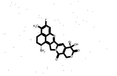 CC[C@@]1(O)C(=O)OCc2c1cc1n(c2=O)Cc2c-1nc1cc(F)c(C)c3c1c2[C@H](N)CC3